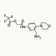 NCc1cc(NC(=O)COC(=O)C(F)(F)F)ccc1N1CCOCC1